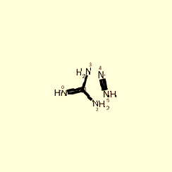 N=C(N)N.[N]=N